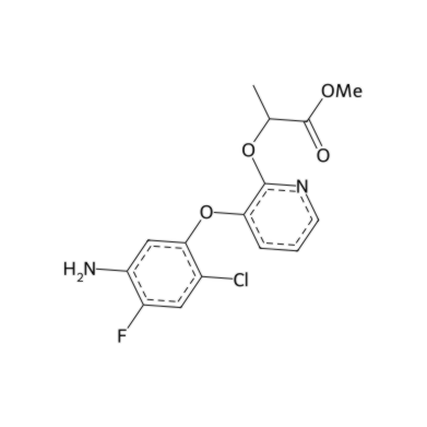 COC(=O)C(C)Oc1ncccc1Oc1cc(N)c(F)cc1Cl